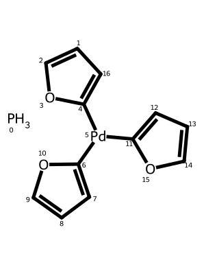 P.c1co[c]([Pd]([c]2ccco2)[c]2ccco2)c1